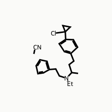 CC#N.CCN(CCc1ccccc1)C(C)CCc1ccc(C2(Cl)CC2)cc1